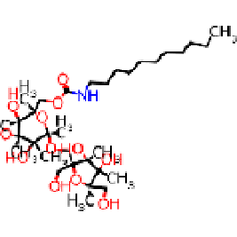 CCCCCCCCCCCNC(=O)OCC1(C)O[C@](C)(OC[C@]2(CO)O[C@](C)(CO)C(C)(O)[C@@]2(C)O)C(C)(O)[C@](C)(O)[C@]1(C)O